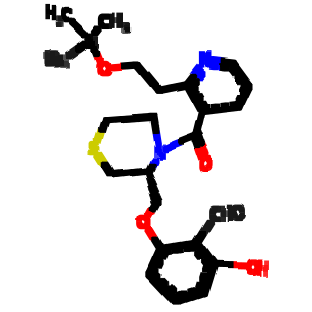 CC(C)(C)[Si](C)(C)OCCc1ncccc1C(=O)N1CCSC[C@@H]1COc1cccc(O)c1C=O